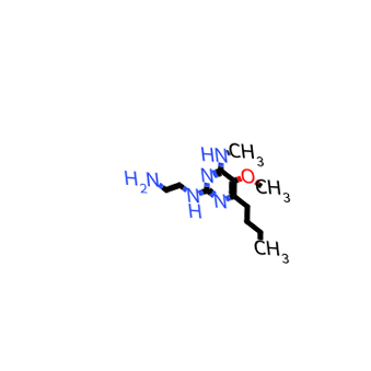 CCCCc1nc(NCCN)nc(NC)c1OC